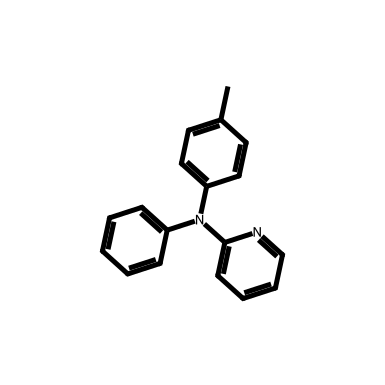 Cc1ccc(N(c2ccccc2)c2ccccn2)cc1